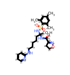 Cc1cc(C)c(S(=O)(=O)NC(CCCCCNc2ccccn2)(NC(=O)C2=NOCC2)C(=O)O)c(C)c1